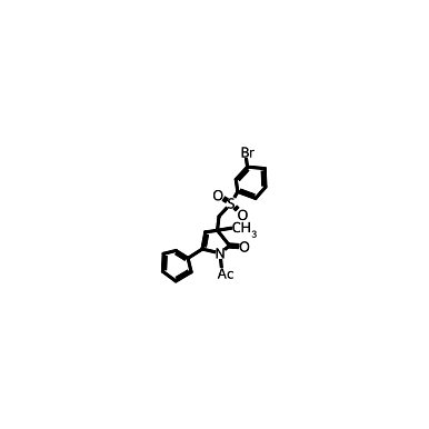 CC(=O)N1C(=O)C(C)(CS(=O)(=O)c2cccc(Br)c2)C=C1c1ccccc1